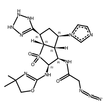 CC1(C)COC(N[C@@H]2[C@H](NC(=O)CN=[N+]=[N-])[C@@H]3[C@@H]([C@@H](C4=NNNN4)C[C@H]3n3ccnc3)S2(=O)=O)=N1